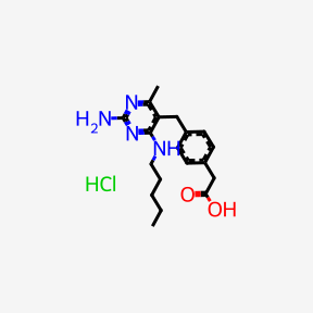 CCCCCNc1nc(N)nc(C)c1Cc1ccc(CC(=O)O)cc1.Cl